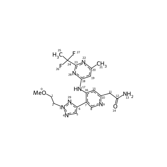 COCCn1ncc(-c2cnc(CC(N)=O)cc2Nc2cc(C)nc(C(C)(F)F)n2)n1